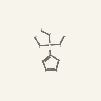 CC[PH](CC)(CC)C1=CC=CC1